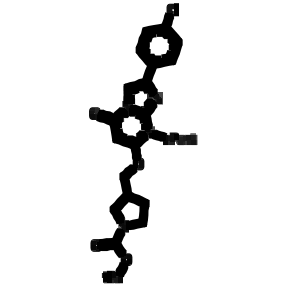 CCCCCn1c(OCC2CCN(C(=O)OC(C)(C)C)C2)cc(=O)n2cc(-c3ccc(Cl)cc3)nc12